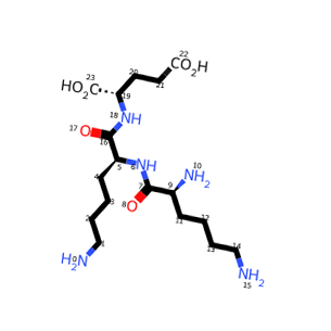 NCCCC[C@H](NC(=O)[C@@H](N)CCCCN)C(=O)N[C@@H](CCC(=O)O)C(=O)O